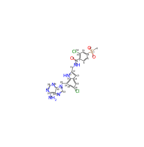 CS(=O)(=O)c1ccc(C(=O)NCc2cc3cc(Cl)cc(Cn4cnc5c(N)ncnc54)c3[nH]2)c(Cl)c1